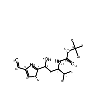 CC(C)C(CC(O)c1nc(C=O)cs1)NC(=O)OC(C)(C)C